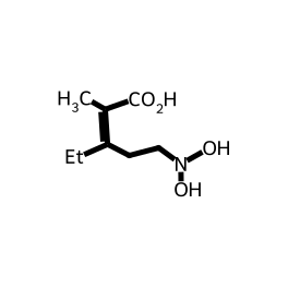 CCC(CCN(O)O)=C(C)C(=O)O